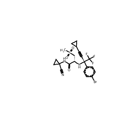 CS(=O)(=O)C[C@H](N[C@@](C#CC1CC1)(c1ccc(Br)cc1)C(F)(F)F)C(=O)NC1(C#N)CC1